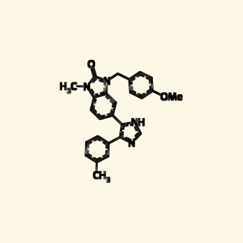 COc1ccc(Cn2c(=O)n(C)c3ccc(-c4[nH]cnc4-c4cccc(C)c4)cc32)cc1